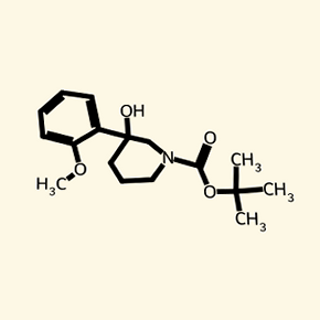 COc1ccccc1C1(O)CCCN(C(=O)OC(C)(C)C)C1